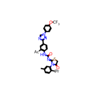 CC(=O)c1cc(-c2ncn(-c3ccc(OC(F)(F)F)cc3)n2)ccc1NC(=O)/N=C1\SCC(=O)N1c1cc(C)ccc1C(C)C